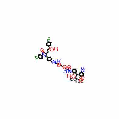 CCCCC1(CC)CS(=O)(=O)c2ccc(N(C)C)cc2C(c2cccc(NC(=O)COCCOCCNCc3ccc(C4C(CCC(O)c5ccc(F)cc5)C(=O)N4c4ccc(F)cc4)cc3)c2)C1O